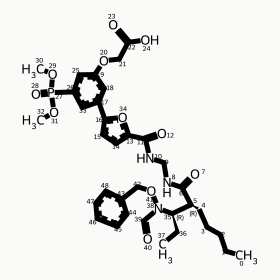 CCCCC[C@@H](C(=O)NCNC(=O)c1ccc(-c2cc(OCC(=O)O)cc(P(=O)(OC)OC)c2)o1)[C@@H](CC)N(C=O)OCc1ccccc1